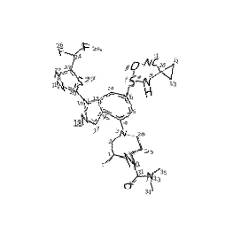 CC1CN(c2cc([S+]([O-])NC3(C#N)CC3)cc3c2cnn3-c2nnc(C(F)F)s2)CCN1C(=O)N(C)C